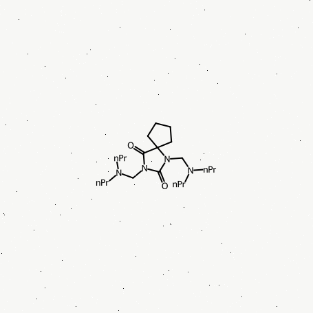 CCCN(CCC)CN1C(=O)N(CN(CCC)CCC)C2(CCCC2)C1=O